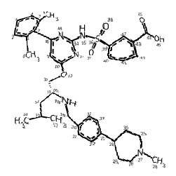 Cc1cccc(C)c1-c1cc(OC[C@@H](CC(C)C)NCc2ccc(C3CCN(C)CC3)cc2)nc(NS(=O)(=O)c2cccc(C(=O)O)c2)n1